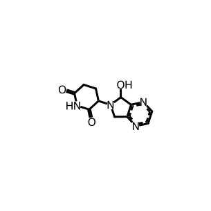 O=C1CCC(N2Cc3nccnc3C2O)C(=O)N1